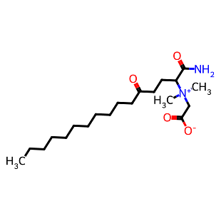 CCCCCCCCCCCC(=O)CCC(C(N)=O)[N+](C)(C)CC(=O)[O-]